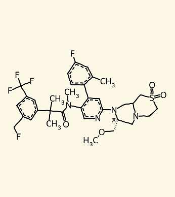 COC[C@H]1CN2CCS(=O)(=O)CC2CN1c1cc(-c2ccc(F)cc2C)c(N(C)C(=O)C(C)(C)c2cc(CF)cc(C(F)(F)F)c2)cn1